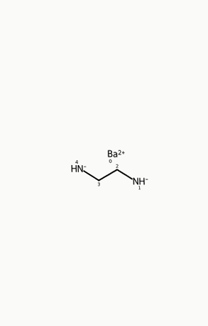 [Ba+2].[NH-]CC[NH-]